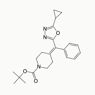 CC(C)(C)OC(=O)N1CCC(=C(c2ccccc2)c2nnc(C3CC3)o2)CC1